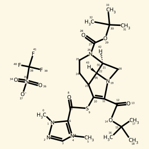 Cn1nc[n+](C)c1C(=O)SC1=C(C(=O)OC(C)(C)C)N2C[C@H]3[C@H]2C1CCN3C(=O)OC(C)(C)C.O=S(=O)([O-])C(F)(F)F